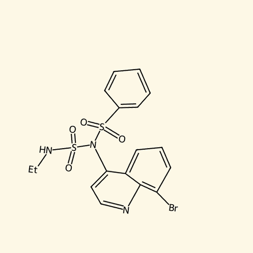 CCNS(=O)(=O)N(c1ccnc2c(Br)cccc12)S(=O)(=O)c1ccccc1